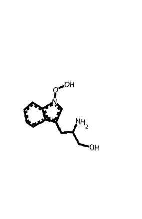 NC(CO)Cc1cn(OO)c2ccccc12